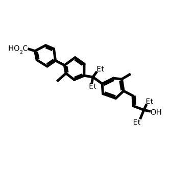 CCC(O)(C=Cc1ccc(C(CC)(CC)c2ccc(-c3ccc(C(=O)O)cc3)c(C)c2)cc1C)CC